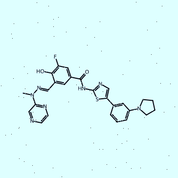 CN(N=Cc1cc(C(=O)Nc2ncc(-c3cccc(N4CCCC4)c3)s2)cc(F)c1O)c1cnccn1